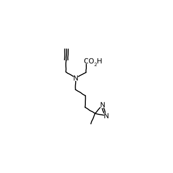 C#CCN(CCCC1(C)N=N1)CC(=O)O